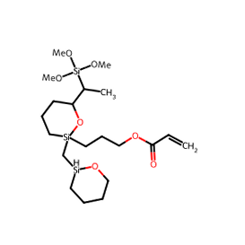 C=CC(=O)OCCC[Si]1(C[SiH]2CCCCO2)CCCC(C(C)[Si](OC)(OC)OC)O1